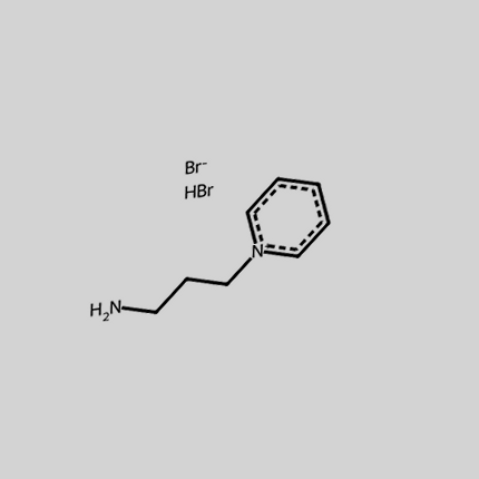 Br.NCCC[n+]1ccccc1.[Br-]